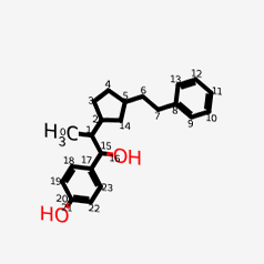 CC(C1CCC(CCc2ccccc2)C1)C(O)c1ccc(O)cc1